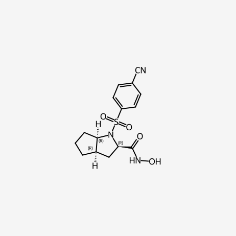 N#Cc1ccc(S(=O)(=O)N2[C@@H](C(=O)NO)C[C@H]3CCC[C@H]32)cc1